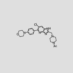 CC(=O)N1CCN(Cc2nc3nc(-c4ccc(N5CCOCC5)cc4)c(Cl)cc3[nH]2)CC1